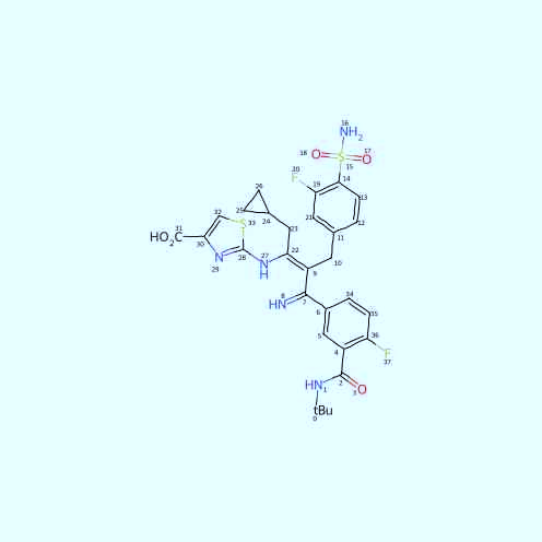 CC(C)(C)NC(=O)c1cc(C(=N)/C(Cc2ccc(S(N)(=O)=O)c(F)c2)=C(/CC2CC2)Nc2nc(C(=O)O)cs2)ccc1F